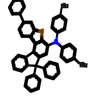 CC(C)(C)c1ccc(N(c2ccc(C(C)(C)C)cc2)c2cc3c(c4c2sc2cc(-c5ccccc5)ccc24)-c2ccccc2C3(c2ccccc2)c2ccccc2)cc1